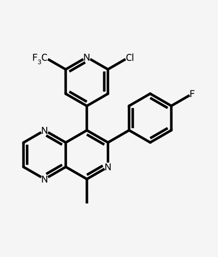 Cc1nc(-c2ccc(F)cc2)c(-c2cc(Cl)nc(C(F)(F)F)c2)c2nccnc12